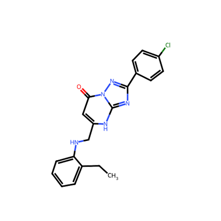 CCc1ccccc1NCc1cc(=O)n2nc(-c3ccc(Cl)cc3)nc2[nH]1